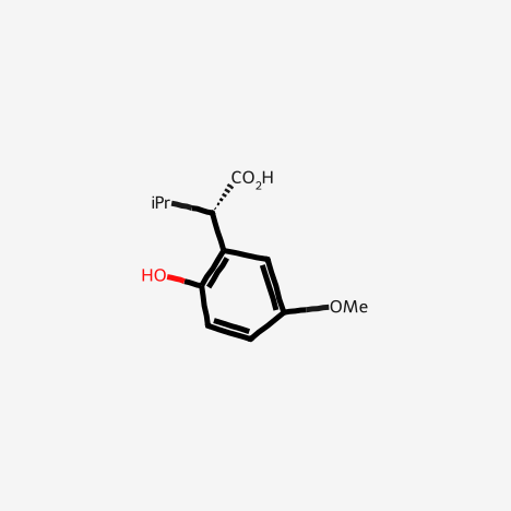 COc1ccc(O)c([C@@H](C(=O)O)C(C)C)c1